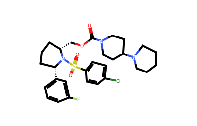 O=C(OC[C@H]1CCC[C@@H](c2cccc(F)c2)N1S(=O)(=O)c1ccc(Cl)cc1)N1CCC(N2CCCCC2)CC1